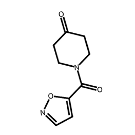 O=C1CCN(C(=O)c2ccno2)CC1